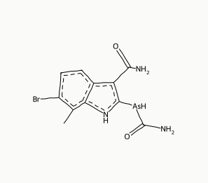 Cc1c(Br)ccc2c(C(N)=O)c([AsH]C(N)=O)[nH]c12